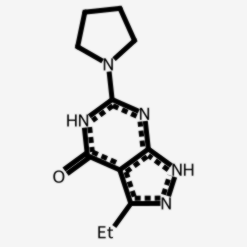 CCc1n[nH]c2nc(N3CCCC3)[nH]c(=O)c12